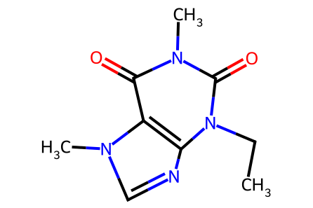 CCn1c(=O)n(C)c(=O)c2c1ncn2C